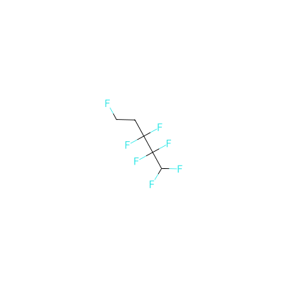 FCCC(F)(F)C(F)(F)C(F)F